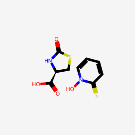 O=C1N[C@H](C(=O)O)CS1.On1ccccc1=S